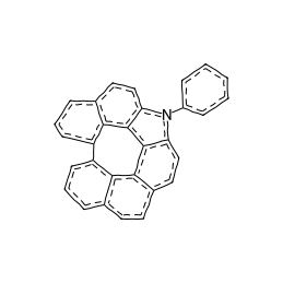 c1ccc(-n2c3ccc4cccc5c4c3c3c4c(ccc6cccc-5c64)ccc32)cc1